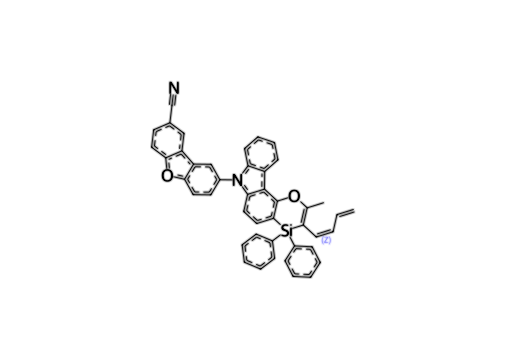 C=C/C=C\C1=C(C)Oc2c(ccc3c2c2ccccc2n3-c2ccc3oc4ccc(C#N)cc4c3c2)[Si]1(c1ccccc1)c1ccccc1